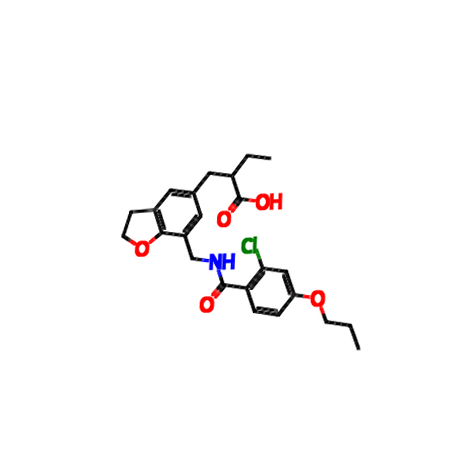 CCCOc1ccc(C(=O)NCc2cc(CC(CC)C(=O)O)cc3c2OCC3)c(Cl)c1